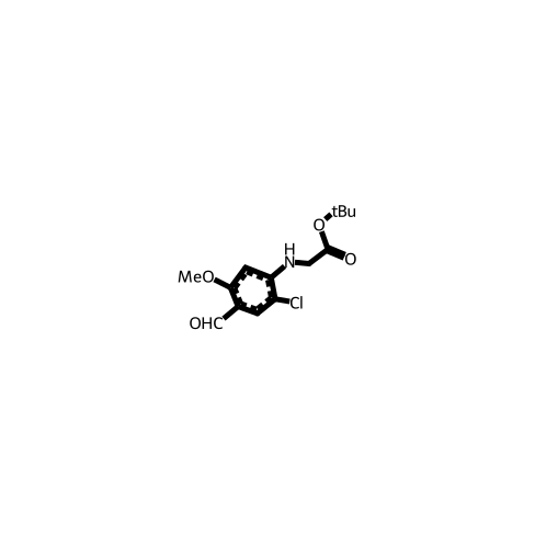 COc1cc(NCC(=O)OC(C)(C)C)c(Cl)cc1C=O